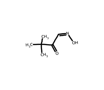 CC(C)(C)C(=O)/C=N\O